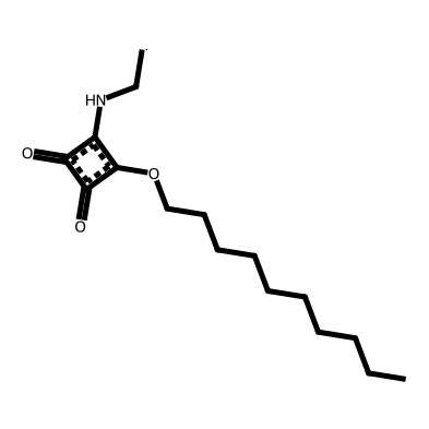 [CH2]CNc1c(OCCCCCCCCCC)c(=O)c1=O